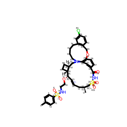 Cc1ccc(S(=O)(=O)NCCO[C@H]2/C=C/C[C@H](C)[C@@H](C)S(=O)(=O)NC(=O)c3ccc4c(c3)N(CCCCc3cc(Cl)ccc3CO4)C[C@@H]3CC[C@H]32)cc1